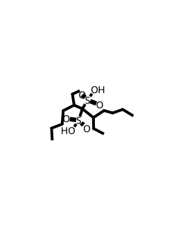 CCCCC(CC)C(C(CC)CCCC)(S(=O)(=O)O)S(=O)(=O)O